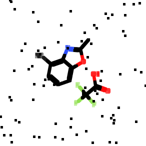 Cc1nc2c(C#N)cccc2o1.O=C(O)C(F)(F)F